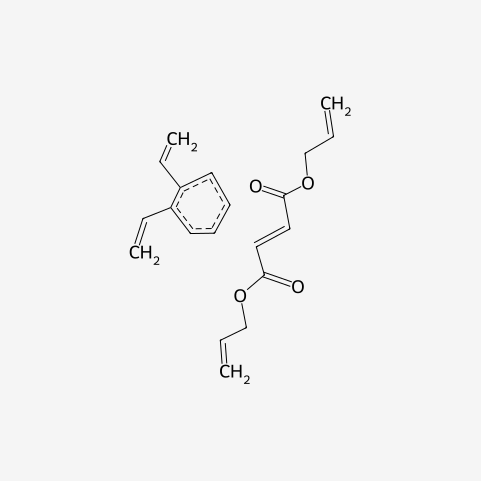 C=CCOC(=O)/C=C/C(=O)OCC=C.C=Cc1ccccc1C=C